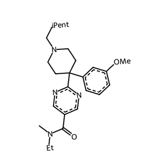 CCCC(C)CN1CCC(c2cccc(OC)c2)(c2ncc(C(=O)N(C)CC)cn2)CC1